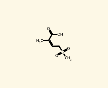 CC(=CCS(C)(=O)=O)C(=O)O